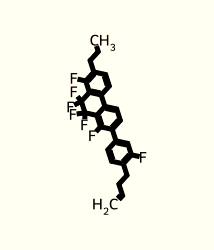 C=CCCc1ccc(-c2ccc3c(c2F)C(F)(F)C(F)(F)c2c-3ccc(CCC)c2F)cc1F